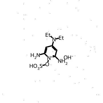 CCN(CC)c1cc(N)[n+](OS(=O)(=O)O)c(N)c1.[OH-]